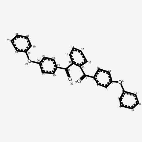 O=C(c1ccc(Oc2ccccc2)cc1)c1ccccc1C(=O)c1ccc(Oc2ccccc2)cc1